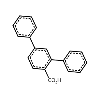 O=C(O)c1ccc(-c2ccccc2)cc1-c1ccccc1